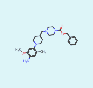 COc1cc(N2CCC(CN3CCN(C(=O)OCc4ccccc4)CC3)CC2)c(C)cc1N